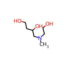 CN(CCO)CC(O)CCO